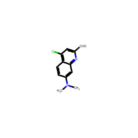 CN(C)c1ccc2c(Cl)cc(C=O)nc2c1